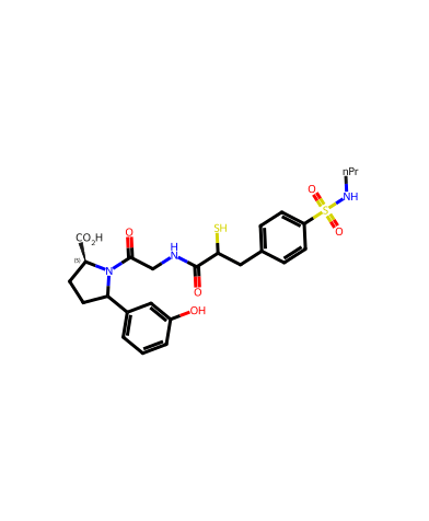 CCCNS(=O)(=O)c1ccc(CC(S)C(=O)NCC(=O)N2C(c3cccc(O)c3)CC[C@H]2C(=O)O)cc1